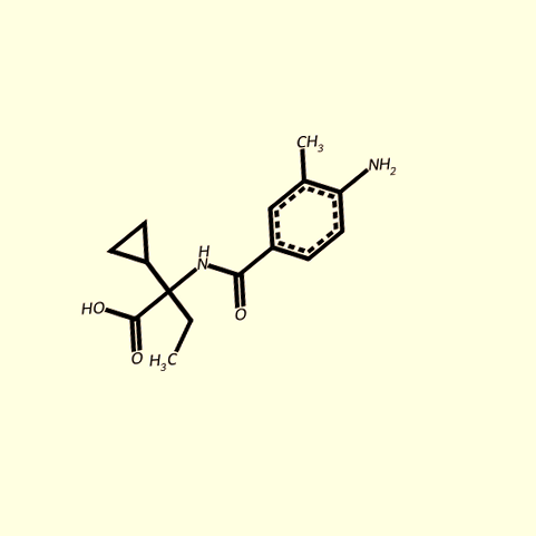 CCC(NC(=O)c1ccc(N)c(C)c1)(C(=O)O)C1CC1